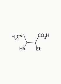 C=CC(S)C(CC)C(=O)O